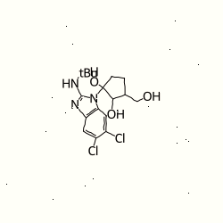 CC(C)(C)Nc1nc2cc(Cl)c(Cl)cc2n1C1(O)CCC(CO)C1O